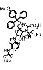 C#C[C@@]1(O)[C@H](N(C(=O)OC(C)(C)C)C(C(=O)O)C(C)C)C(F)(COC(c2ccccc2)(c2ccccc2)c2ccc(OC)cc2)O[C@H]1n1cnc2c(NC(=O)OC(C)(C)C)ncnc21